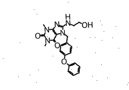 Cn1c(=O)c2c(nc(NCCO)n2Cc2ccc(Oc3ccccc3)cc2)n(C)c1=O